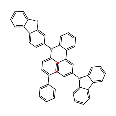 c1ccc(-c2ccc(N(c3ccc4c(c3)oc3ccccc34)c3ccccc3-c3cccc(-n4c5ccccc5c5ccccc54)c3)cc2)cc1